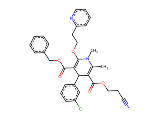 CC1=C(C(=O)OCCC#N)C(c2cccc(Cl)c2)C(C(=O)OCc2ccccc2)=C(OCCc2ccccn2)N1C